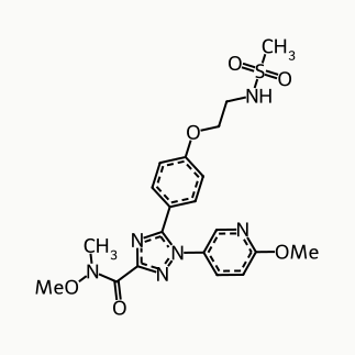 COc1ccc(-n2nc(C(=O)N(C)OC)nc2-c2ccc(OCCNS(C)(=O)=O)cc2)cn1